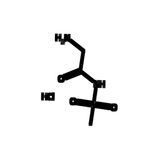 CS(=O)(=O)NC(=O)CN.Cl